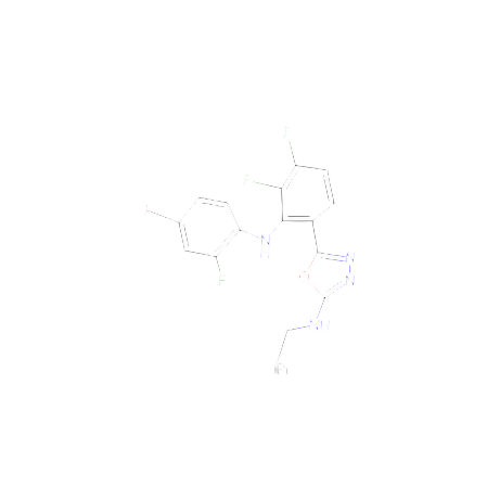 CC(C)CNc1nnc(-c2ccc(F)c(F)c2Nc2ccc(I)cc2F)o1